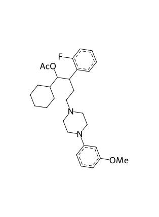 COc1cccc(N2CCN(CCC(c3ccccc3F)C(OC(C)=O)C3CCCCC3)CC2)c1